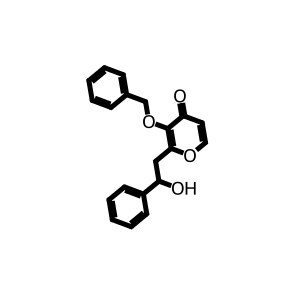 O=c1ccoc(CC(O)c2ccccc2)c1OCc1ccccc1